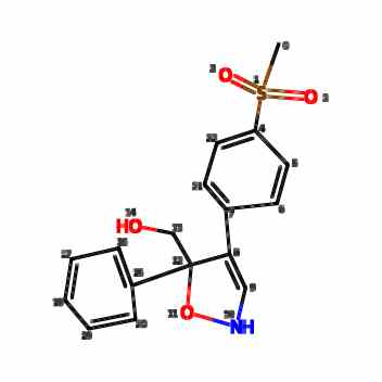 CS(=O)(=O)c1ccc(C2=CNOC2(CO)c2ccccc2)cc1